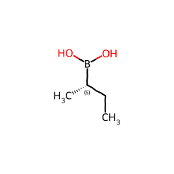 CC[C@H](C)B(O)O